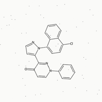 O=c1ccn(-c2ccccc2)nc1-c1ccnn1-c1ccc(Cl)c2ccccc12